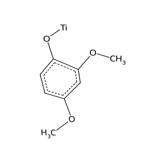 COc1ccc([O][Ti])c(OC)c1